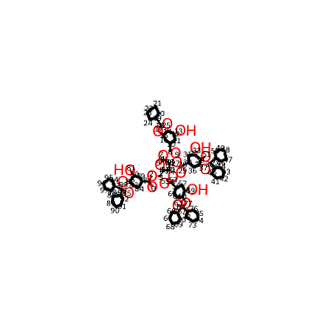 O=C(OC[C@H]1O[C@H](OC(=O)c2cc(O)c3c(c2)OC(c2ccccc2)O3)[C@H](OC(=O)c2cc(O)c3c(c2)OC(c2ccccc2)(c2ccccc2)O3)[C@@H]1OC(=O)c1cc(O)c2c(c1)OC(c1ccccc1)(c1ccccc1)O2)c1cc(O)c2c(c1)OC(c1ccccc1)(c1ccccc1)O2